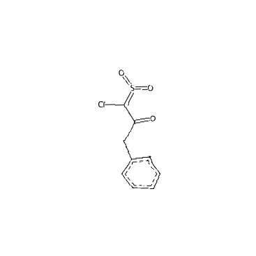 O=C(Cc1ccccc1)C(Cl)=S(=O)=O